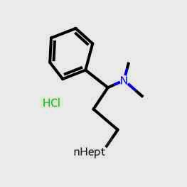 CCCCCCCCCC(c1ccccc1)N(C)C.Cl